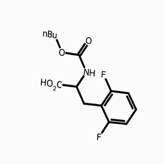 CCCCOC(=O)NC(Cc1c(F)cccc1F)C(=O)O